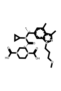 COCCCn1nc(C)c2c(C)cc([C@@H](C)N(C(=O)[C@H]3CN(C(=O)O)CCN3C(=O)O)C3CC3)cc21